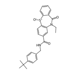 CCN1C(=O)c2ccccc2[S+]([O-])c2ccc(C(=O)NCc3ccc(C(C)(C)C)cc3)cc21